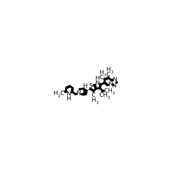 C=C1C=CC=C(CN2C[C@@H]3CC2C[C@H]3c2sc3[nH]c(-c4cn5ncnc5c(C)c4C)c(C(C)C)c3c2C)N1